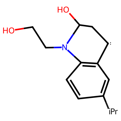 CC(C)c1ccc2c(c1)[C]CC(O)N2CCO